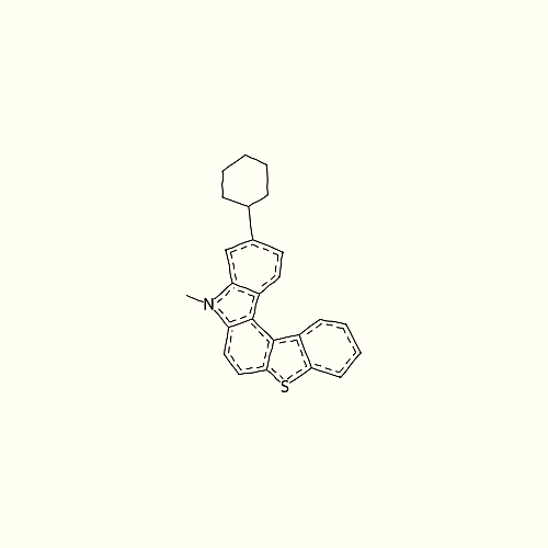 Cn1c2cc(C3CCCCC3)ccc2c2c3c(ccc21)sc1ccccc13